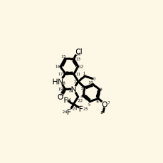 CCC1(c2ccc(OC)cc2)c2cc(Cl)ccc2NC(=O)N1CC(F)(F)F